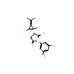 CCCC1C(=C(C)C)C1(C)[C@@H]1C(=O)N(c2cc(Cl)cc(Cl)c2)C(=O)[C@@H]1C